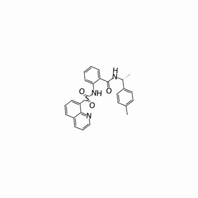 Cc1ccc([C@@H](C)NC(=O)c2ccccc2NS(=O)(=O)c2cccc3cccnc23)cc1